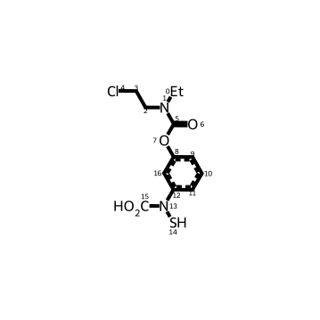 CCN(CCCl)C(=O)Oc1cccc(N(S)C(=O)O)c1